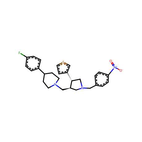 O=[N+]([O-])c1ccc(CN2C[C@@H](CN3CCC(c4ccc(F)cc4)CC3)[C@H](c3ccsc3)C2)cc1